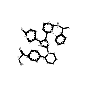 CC(Nc1nccc(-c2oc(N3CCCCC3c3ccc(C(=O)OC(C)(C)C)cc3)nc2-c2ccc(F)cc2)n1)c1ccccc1